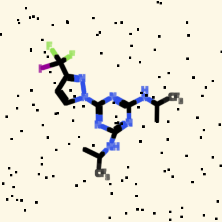 CC(Nc1nc(NC(C)C(F)(F)F)nc(-n2ccc(C(F)(F)I)n2)n1)C(F)(F)F